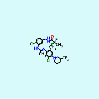 C/C(=N\c1cc(Cl)c(N2CCCC(C(F)(F)F)C2)cc1C)Nc1cc(CNC(=O)C(C)(F)F)ccc1Cl